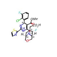 COC(=O)C1=C(CN2[C@H]3COC[C@@H]2[C@@H](F)[C@H](CC(=O)O)C3)NC(c2nccs2)=N[C@H]1c1cccc(F)c1Cl